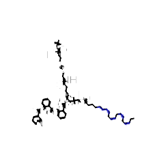 CC/C=C\C/C=C\C/C=C\C/C=C\C=C\CCCC(=O)OCC(C)(C)[C@@H](OC(=O)c1ccccc1OC(=O)c1ccccc1OC(=O)c1cccnc1)C(=O)NCCC(=O)NCCSSCCNC(=O)OC(C)(C)C